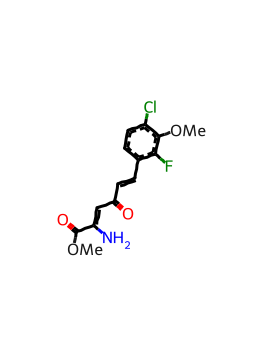 COC(=O)C(N)=CC(=O)C=Cc1ccc(Cl)c(OC)c1F